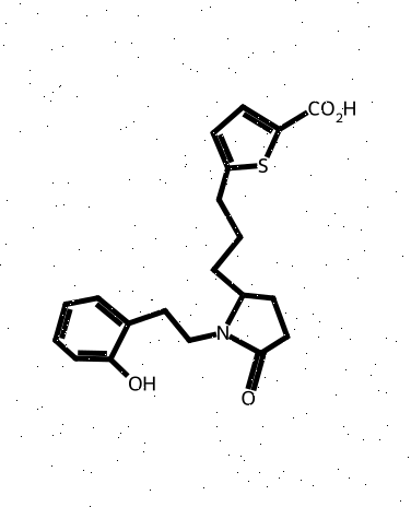 O=C(O)c1ccc(CCCC2CCC(=O)N2CCc2ccccc2O)s1